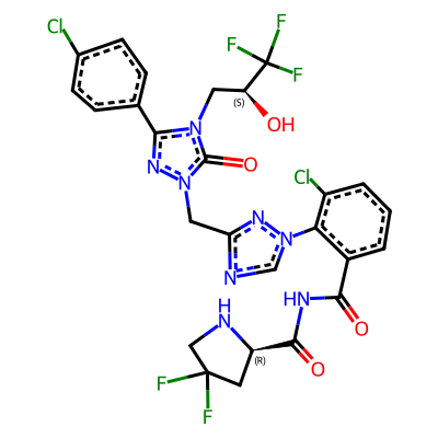 O=C(NC(=O)[C@H]1CC(F)(F)CN1)c1cccc(Cl)c1-n1cnc(Cn2nc(-c3ccc(Cl)cc3)n(C[C@H](O)C(F)(F)F)c2=O)n1